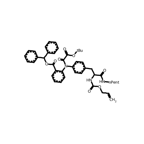 C=CCOC(=O)NC(Cc1ccc(N(C(=O)C(=O)OC(C)(C)C)c2ccccc2C(=O)OC(c2ccccc2)c2ccccc2)cc1)C(=O)NCCCCC